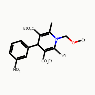 CCCC1=C(C(=O)OCC)C(c2cccc([N+](=O)[O-])c2)C(C(=O)OCC)=C(C)N1COCC